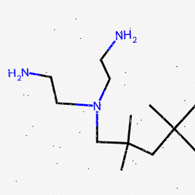 CC(C)(C)CC(C)(C)CN(CCN)CCN